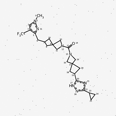 Cn1cc(C(F)(F)F)c(CC2CC3(C2)CN(C(=O)N2CC4(CC(c5nc(C6CC6)n[nH]5)C4)C2)C3)n1